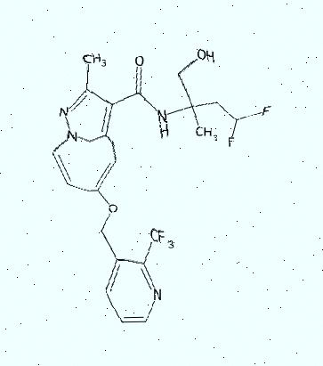 Cc1nn2ccc(OCc3cccnc3C(F)(F)F)cc2c1C(=O)NC(C)(CO)CC(F)F